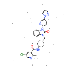 Cc1ncc(Cl)cc1C(=O)NC1CCC(Cn2c(=O)n(-c3ccc(-n4cccn4)cn3)c3ccccc32)CC1